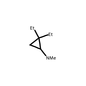 CCC1(CC)CC1NC